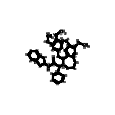 COc1ccc(CC2c3cc(OC)c(OC)cc3CCCN2C(C(=O)NC2Cc3ccccc3C2)c2ccccc2)cc1OC